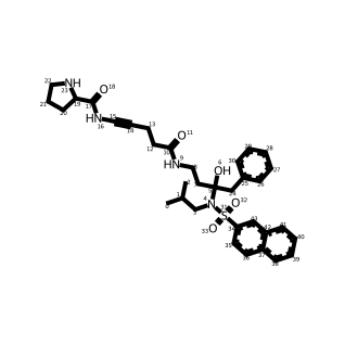 CC(C)CN(C(O)(CCNC(=O)CCC#CNC(=O)C1CCCN1)Cc1ccccc1)S(=O)(=O)c1ccc2ccccc2c1